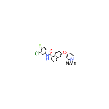 CNc1cc(Oc2ccc3c(C(=O)Nc4ccc(F)c(Cl)c4)cccc3c2)ccn1